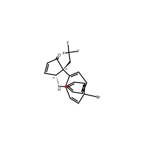 O=C1C=C[C@@H](Nc2ccc(Br)cc2)[C@@]1(CC(F)(F)F)c1ccccc1